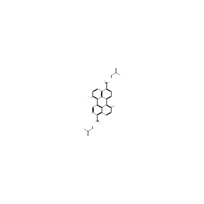 CC(C)COC(=O)c1ccc2c3c(F)ccc4c(C(=O)OCC(C)C)ccc(c5c(F)ccc1c25)c43